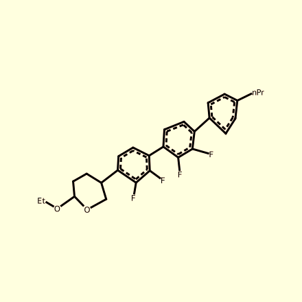 CCCc1ccc(-c2ccc(-c3ccc(C4CCC(OCC)OC4)c(F)c3F)c(F)c2F)cc1